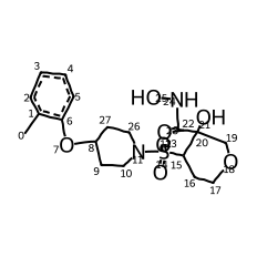 Cc1ccccc1OC1CCN(S(=O)(=O)C2CCOCC2(O)C(=O)NO)CC1